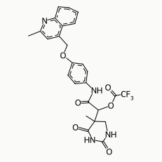 Cc1cc(COc2ccc(NC(=O)C(OC(=O)C(F)(F)F)C3(C)CNC(=O)NC3=O)cc2)c2ccccc2n1